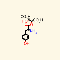 N[C@@H](Cc1ccc(O)cc1)C(=O)OC(C(=O)O)C(O)C(=O)O